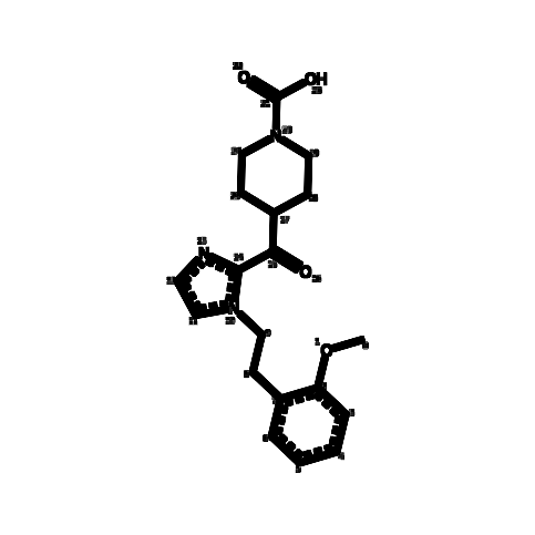 COc1ccccc1CCn1ccnc1C(=O)C1CCN(C(=O)O)CC1